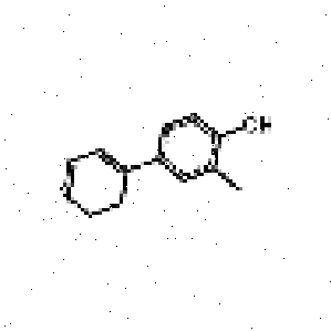 Cc1cc(C2=CC=NCC2)ccc1O